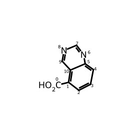 O=C(O)c1cccc2ncncc12